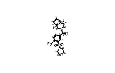 O=C(c1ccc(C(F)(F)F)c(S(=O)(=O)N2CCOCC2)c1)N1CC[C@@H]2CCCC[C@H]2C1